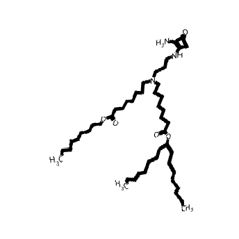 CCCCCCCCCOC(=O)CCCCCCCN(CCCCCCCC(=O)OC(CCCCCCCC)CCCCCCCC)CCCNC1=C(N)C(=O)C1